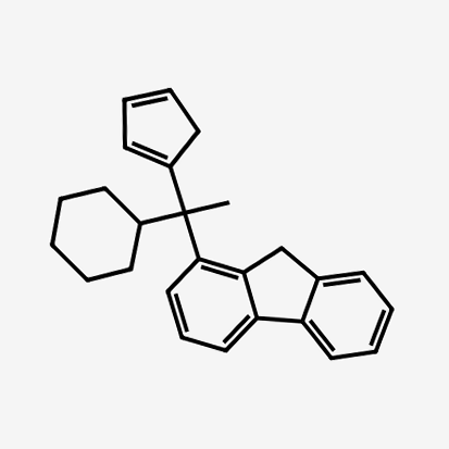 CC(C1=CC=CC1)(c1cccc2c1Cc1ccccc1-2)C1CCCCC1